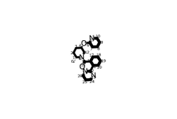 C[C@@H]1CC[C@@H](Oc2ccccn2)CN1C(=O)c1ccccc1-c1ncccn1